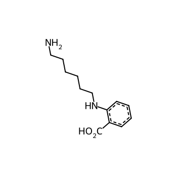 NCCCCCCNc1ccccc1C(=O)O